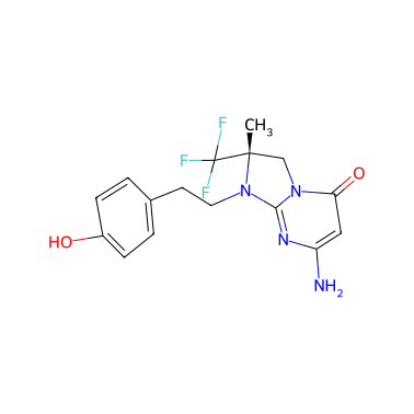 C[C@@]1(C(F)(F)F)Cn2c(nc(N)cc2=O)N1CCc1ccc(O)cc1